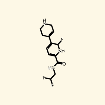 O=C(NCC(F)F)C1=CC=C(C2=CCNCC2)C(F)N1